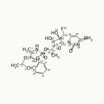 CC(C)OC(=O)[C@H](C)N[P@](=O)(Oc1ccccc1)O[C@@H](C)[C@H]1O[C@@H](n2ccc(N)nc2=O)[C@@](O)(CF)C1O